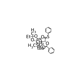 CCC1(C)OC[C@@H]([C@@H]2O[C@@H](Sc3ccccc3)C(OC(=O)c3ccccc3)C2O[Si](C)(C)C(C)(C)C)O1